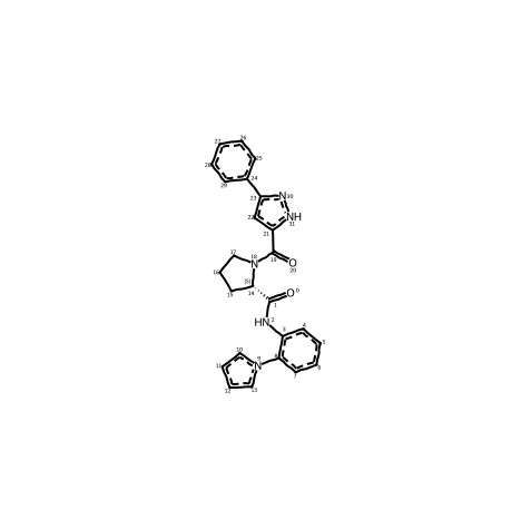 O=C(Nc1ccccc1-n1cccc1)[C@@H]1CCCN1C(=O)c1cc(-c2ccccc2)n[nH]1